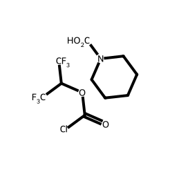 O=C(Cl)OC(C(F)(F)F)C(F)(F)F.O=C(O)N1CCCCC1